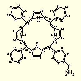 NCc1ccc(C2=C3C=CC(=N3)C(c3ccccc3)=C3C=CC(=N3)C(c3ccccc3)=C3C=CC(=N3)C(c3ccccc3)=C3C=CC2=N3)cc1